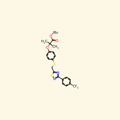 CC(C)(C)OC(=O)C(C)(C)Oc1ccc(SCc2nc(-c3ccc(C(F)(F)F)cc3)ns2)cc1